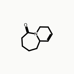 O=C1CCCCC2C=CCCN12